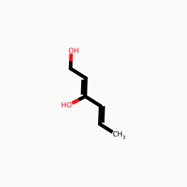 CC=CC(O)=CCO